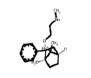 CNCCO[C@]1(c2ccccc2)C[C@H]2CC[C@]1(C)C2(C)C